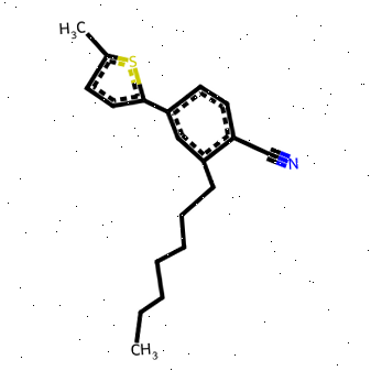 CCCCCCCc1cc(-c2ccc(C)s2)ccc1C#N